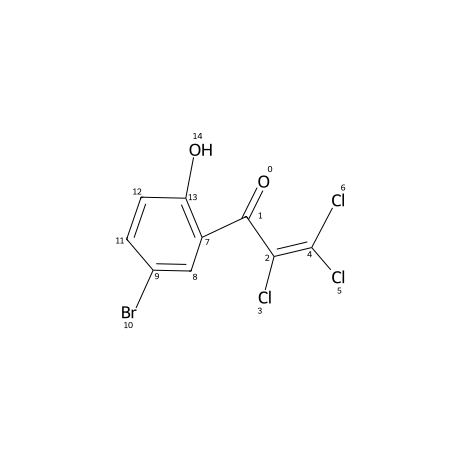 O=C(C(Cl)=C(Cl)Cl)c1cc(Br)ccc1O